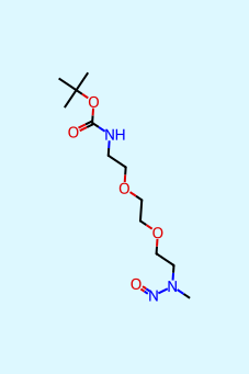 CN(CCOCCOCCNC(=O)OC(C)(C)C)N=O